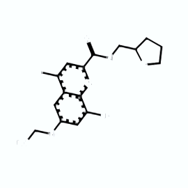 CC(C)(C)c1cc(NCC(F)(F)F)cc2c(I)cc(C(=O)NCC3CCCO3)nc12